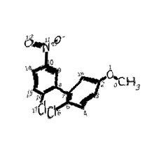 COc1[c]cc(Cl)c(-c2cc([N+](=O)[O-])ccc2Cl)c1